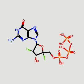 Nc1nc2c(ncn2C2O[C@](F)(COP(=O)(O)OP(=O)(O)OP(=O)(O)O)[C@@H](O)[C@H]2F)c(=O)[nH]1